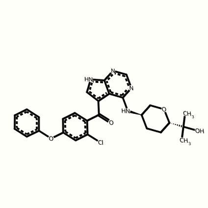 CC(C)(O)[C@@H]1CC[C@@H](Nc2ncnc3[nH]cc(C(=O)c4ccc(Oc5ccccc5)cc4Cl)c23)CO1